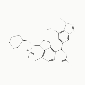 COc1cc(C(CC(=O)O)c2ccc(C)c3c2CCC3N(CC2CCCCC2)S(C)(=O)=O)cc2nnn(C)c12